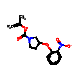 C=C(C)OC(=O)N1CCC(Oc2ccccc2[N+](=O)[O-])C1